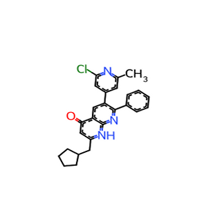 Cc1cc(-c2cc3c(=O)cc(CC4CCCC4)[nH]c3nc2-c2ccccc2)cc(Cl)n1